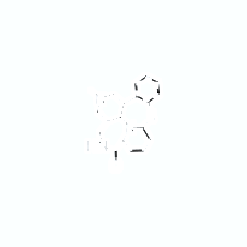 CN1CC2CNC(=O)C3C=CC=C4Sc5ccccc5C(C1)C2N43